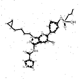 CCCP(=O)(O)Oc1ccc(-c2nc3c(cc2Br)c(NC(=O)c2cnsc2)nn3CCCCC2CC2)cc1